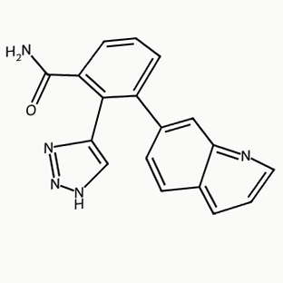 NC(=O)c1cccc(-c2ccc3cccnc3c2)c1-c1c[nH]nn1